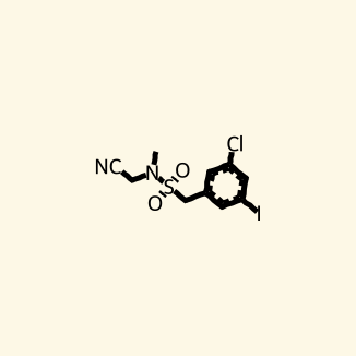 CN(CC#N)S(=O)(=O)Cc1cc(Cl)cc(I)c1